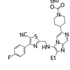 CCc1nc2cnc(C3CCN(C(=O)OC(C)(C)C)CC3)cn2c1NCc1nc(-c2ccc(F)cc2)c(C#N)s1